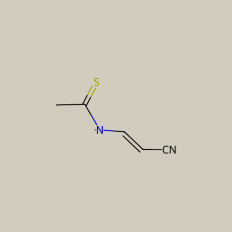 CC(=S)[N]C=CC#N